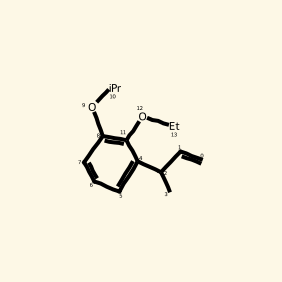 C=C[C](C)c1cccc(OC(C)C)c1OCC